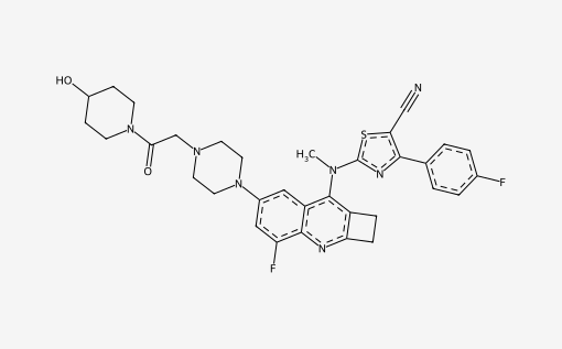 CN(c1nc(-c2ccc(F)cc2)c(C#N)s1)c1c2c(nc3c(F)cc(N4CCN(CC(=O)N5CCC(O)CC5)CC4)cc13)CC2